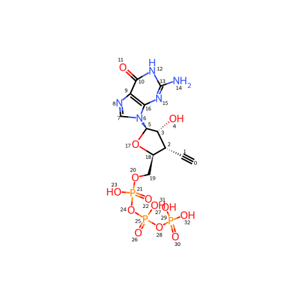 C#C[C@H]1[C@@H](O)[C@H](n2cnc3c(=O)[nH]c(N)nc32)O[C@@H]1COP(=O)(O)OP(=O)(O)OP(=O)(O)O